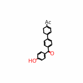 CC(=O)C1=CC=C(c2ccc(C(=O)c3ccc(O)cc3)cc2)CC1